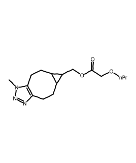 CCCOCC(=O)OCC1C2CCc3nnn(C)c3CCC21